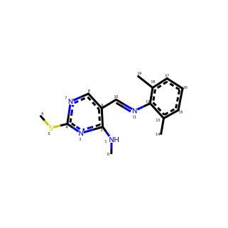 CNc1nc(SC)ncc1C=Nc1c(C)cccc1C